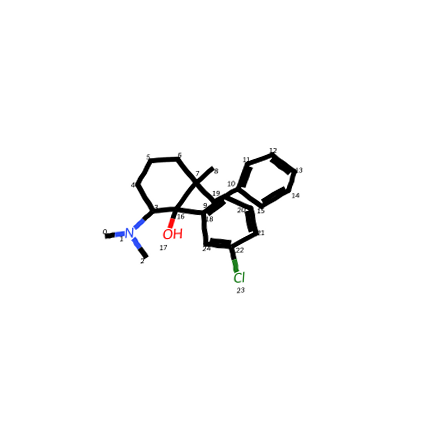 CN(C)C1CCCC(C)(Cc2ccccc2)C1(O)c1cccc(Cl)c1